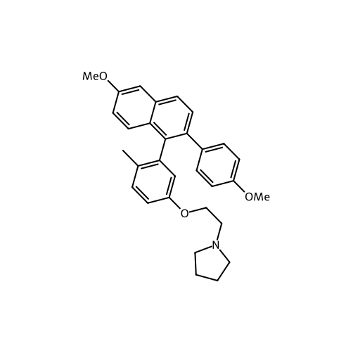 COc1ccc(-c2ccc3cc(OC)ccc3c2-c2cc(OCCN3CCCC3)ccc2C)cc1